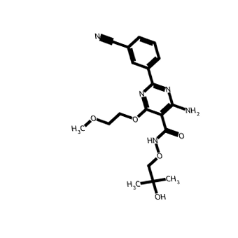 COCCOc1nc(-c2cccc(C#N)c2)nc(N)c1C(=O)NOCC(C)(C)O